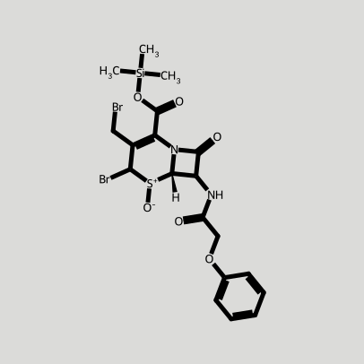 C[Si](C)(C)OC(=O)C1=C(CBr)C(Br)[S+]([O-])[C@H]2C(NC(=O)COc3ccccc3)C(=O)N12